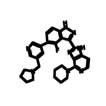 Fc1c(-c2cncc(CN3CCCC3)c2)ccc2[nH]nc(-c3nc4c(N5CCCCC5)nccc4[nH]3)c12